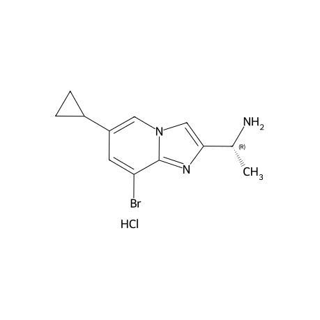 C[C@@H](N)c1cn2cc(C3CC3)cc(Br)c2n1.Cl